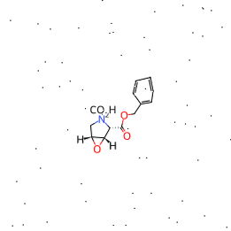 O=C(OCc1ccccc1)[C@@H]1[C@@H]2O[C@@H]2CN1C(=O)O